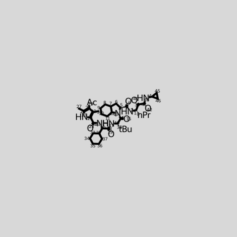 CCC[C@H](NC(=O)[C@@H]1CC2CCCCC2N1C(=O)[C@@H](NC(=O)C(NC(=O)c1[nH]c(C)c(C(C)=O)c1C)C1CCCCC1)C(C)(C)C)C(=O)C(=O)NC1CC1